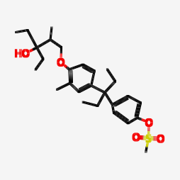 CCC(CC)(c1ccc(OS(C)(=O)=O)cc1)c1ccc(OCC(C)C(O)(CC)CC)c(C)c1